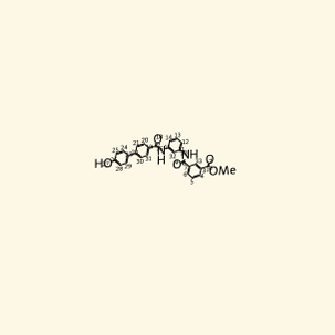 COC(=O)c1cccc(C(=O)Nc2cccc(NC(=O)c3ccc(-c4ccc(O)cc4)cc3)c2)c1